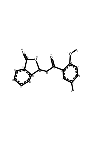 COc1ccc(C)cc1C(=O)CC1OC(=O)c2ccccc21